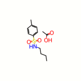 CC(=O)O.CCCCNS(=O)(=O)c1ccc(C)cc1